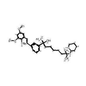 CCOc1cc(C=Cc2cccc(C(C)(O)CCCCCC(C)(C)OC3CCCCO3)c2)c(OC)c(OCC)c1